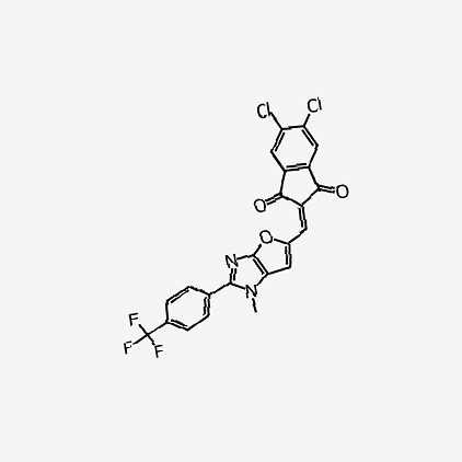 Cn1c(-c2ccc(C(F)(F)F)cc2)nc2oc(C=C3C(=O)c4cc(Cl)c(Cl)cc4C3=O)cc21